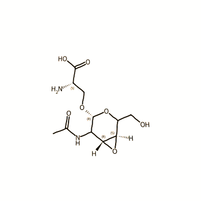 CC(=O)NC1[C@H](OC[C@H](N)C(=O)O)OC(CO)[C@H]2O[C@H]12